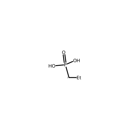 CC[C]P(=O)(O)O